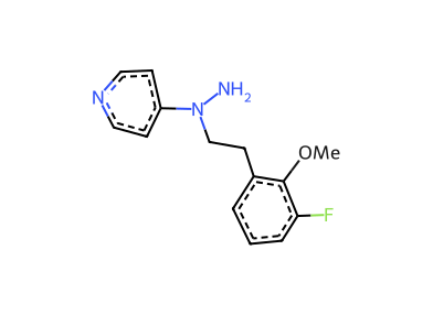 COc1c(F)cccc1CCN(N)c1ccncc1